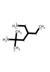 CCC(CN)CC(C)(C)N